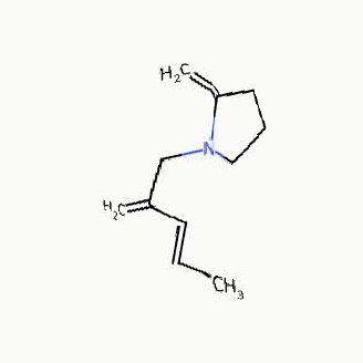 C=C(/C=C/C)CN1CCCC1=C